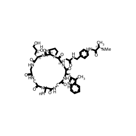 CCCC1NC(=O)CNC(=O)CNC(=O)[C@H](C[C@@H](O)CO)NC(=O)[C@@H]2CCCN2C(=O)[C@H](CC(=O)NCc2ccc(NC(=O)[C@H](C)NC)cc2)NC(=O)C(Sc2[nH]c3ccccc3c2C)NC(=O)CNC1=O